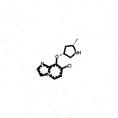 C[C@H]1C[C@@H](Oc2c(Cl)ccn3ccnc23)CN1